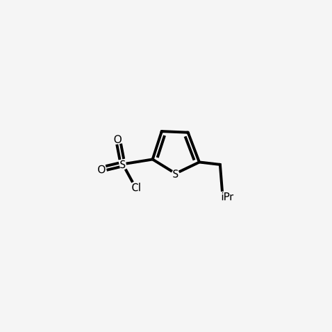 CC(C)Cc1ccc(S(=O)(=O)Cl)s1